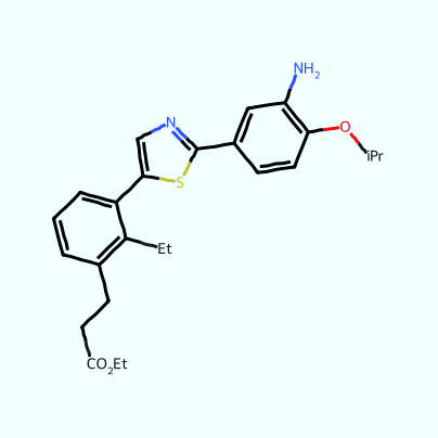 CCOC(=O)CCc1cccc(-c2cnc(-c3ccc(OC(C)C)c(N)c3)s2)c1CC